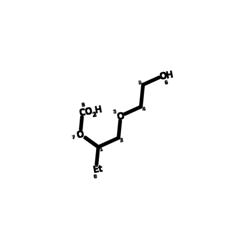 CCC(COCCO)OC(=O)O